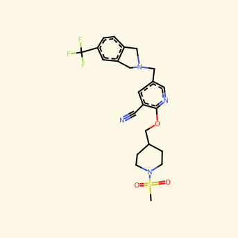 CS(=O)(=O)N1CCC(COc2ncc(CN3Cc4ccc(C(F)(F)F)cc4C3)cc2C#N)CC1